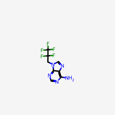 Nc1ncnc2c1ncn2CC(F)(F)C(F)(F)F